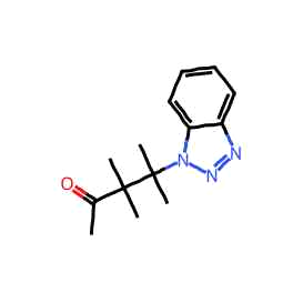 CC(=O)C(C)(C)C(C)(C)n1nnc2ccccc21